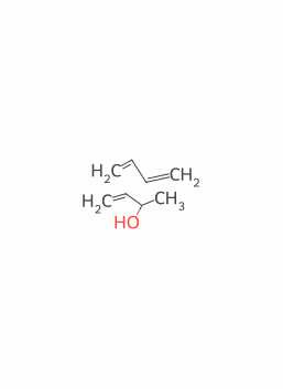 C=CC(C)O.C=CC=C